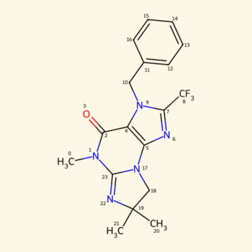 CN1C(=O)c2c(nc(C(F)(F)F)n2Cc2ccccc2)N2CC(C)(C)N=C12